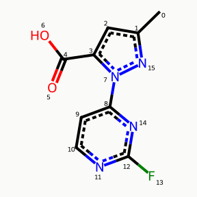 Cc1cc(C(=O)O)n(-c2ccnc(F)n2)n1